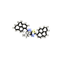 C/C(=N\c1sc(-c2ccc3ccc4cccc5ccc2c3c45)nc1C)c1ccc2ccc3cccc4ccc1c2c34